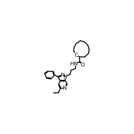 CCc1cc2c(-c3ccccc3)nn(CCCNC(=O)C3CCCCCCCCCC3)c2cn1